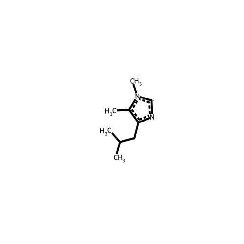 Cc1c(CC(C)C)n[c]n1C